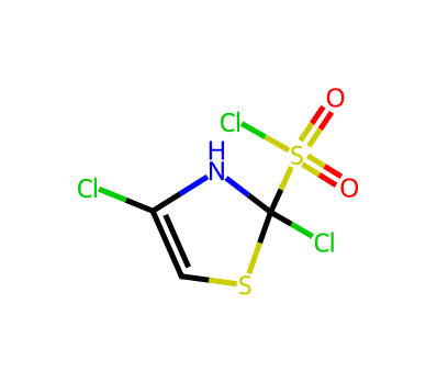 O=S(=O)(Cl)C1(Cl)NC(Cl)=CS1